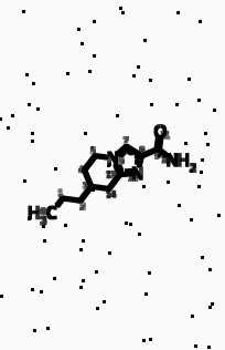 CCCC1CCn2cc(C(N)=O)nc2C1